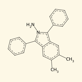 Cc1cc2c(-c3ccccc3)n(N)c(-c3ccccc3)c2cc1C